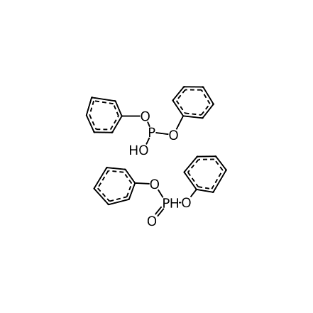 O=[PH](Oc1ccccc1)Oc1ccccc1.OP(Oc1ccccc1)Oc1ccccc1